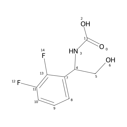 O=C(O)NC(CO)c1cccc(F)c1F